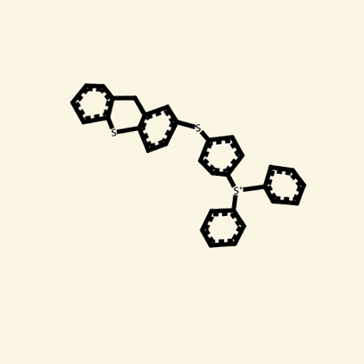 c1ccc([S+](c2ccccc2)c2ccc(Sc3ccc4c(c3)Cc3ccccc3S4)cc2)cc1